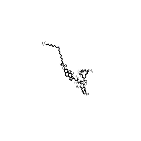 CCCCCCCC/C=C\CCCCCCCCNC(=O)O[C@@H]1CC[C@@]2(C)C(CCC3C2CC[C@]2(C)C(CCC(=O)N[C@H]4C[C@@H](C(=O)N(CCCN(C)C)CCCN(C)C)N(C(=O)C(Cc5c[nH]cn5)N(C)C)C4)CCC32)C1